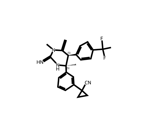 C=C1[C@@H](c2ccc(C(C)(F)F)cc2)[C@@](C)(c2cccc(C3(C#N)CC3)c2)NC(=N)N1C